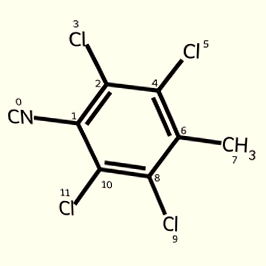 [C-]#[N+]c1c(Cl)c(Cl)c(C)c(Cl)c1Cl